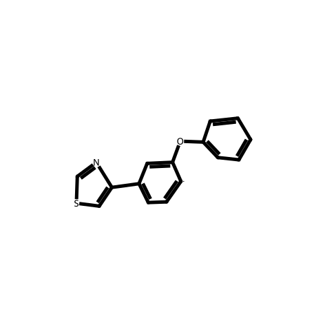 [c]1ccc(-c2cscn2)cc1Oc1ccccc1